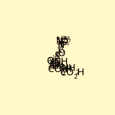 C[n+]1cn(CCC(=O)CSC[C@H](NC(=O)CCC(N)C(=O)O)C(=O)NCC(=O)O)c2ccccc21